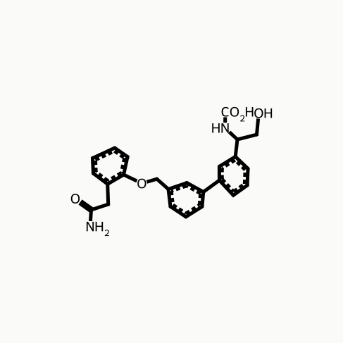 NC(=O)Cc1ccccc1OCc1cccc(-c2cccc(C(CO)NC(=O)O)c2)c1